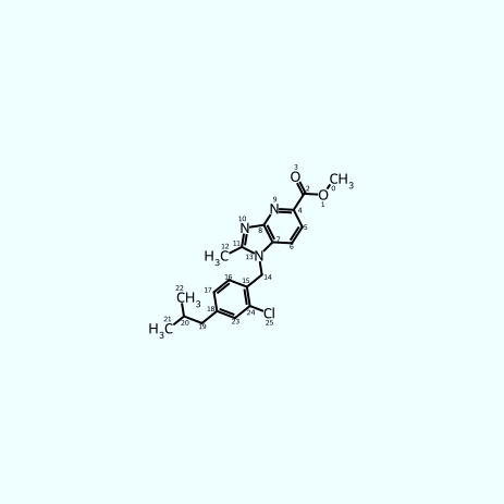 COC(=O)c1ccc2c(n1)nc(C)n2Cc1ccc(CC(C)C)cc1Cl